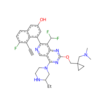 C#Cc1c(F)ccc2cc(O)cc(-c3ncc4c(N5CCNC(CC)C5)nc(OCC5(CN(C)C)CC5)nc4c3C(F)F)c12